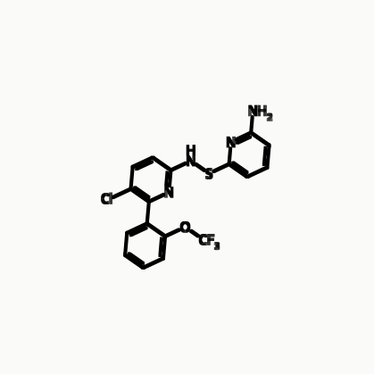 Nc1cccc(SNc2ccc(Cl)c(-c3ccccc3OC(F)(F)F)n2)n1